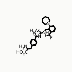 NC(Cc1ccc(C(=O)N=C([AsH2])NCc2c(C(F)F)cccc2N2CCCCCC2)cc1)C(=O)O